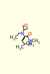 CCN(C(=CC(C)C)C(=O)NC)C1COC1